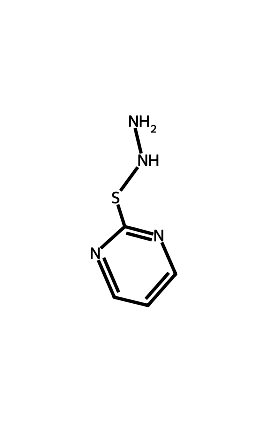 NNSc1ncccn1